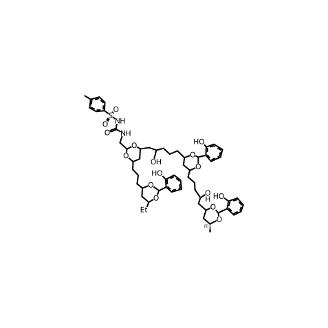 CCC1CC(CCCC2CC(CC(O)CCCC3CC(CCCC(O)CC4C[C@H](C)OC(c5ccccc5O)O4)OC(c4ccccc4O)O3)OC(CNC(=O)NS(=O)(=O)c3ccc(C)cc3)O2)OC(c2ccccc2O)O1